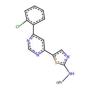 CCCNc1ncc(-c2cc(-c3ccccc3Cl)ncn2)s1